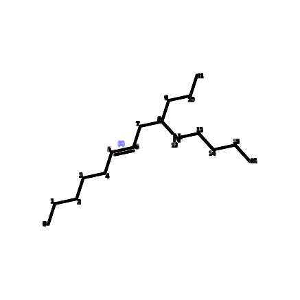 CCCCC/C=C/CC(CCC)[N]CCCC